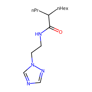 CCCCCCC(CCC)C(=O)NCCn1cncn1